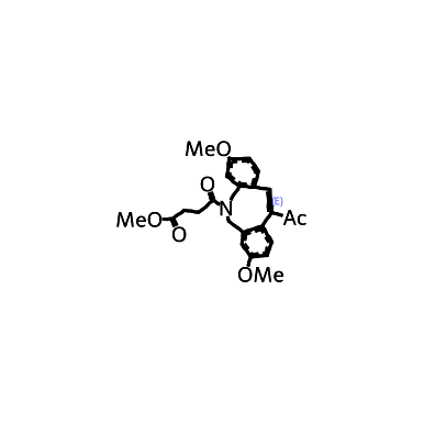 COC(=O)CCC(=O)N1Cc2cc(OC)ccc2/C(C(C)=O)=C\c2ccc(OC)cc21